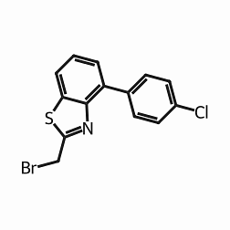 Clc1ccc(-c2cccc3sc(CBr)nc23)cc1